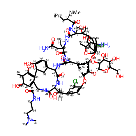 CN[C@H](CC(C)C)C(=O)N[C@H]1C(=O)N[C@@H](CC(N)=O)C(=O)N[C@H]2C(=O)NC3C(=O)N[C@H](C(=O)N[C@H](C(=O)NCCCN(C)C)C4=CC(O)C(C)C(O)=C4C4CC3=CC=C4O)[C@H](O)C3=CC=C(Oc4cc2cc(c4O[C@H]2OC(CO)C(O)[C@H](O)C2O[C@H]2CC(C)(N)[C@H](O)C(C)O2)OC2=C(Cl)C=C(CC2)[C@H]1O)C(Cl)C3